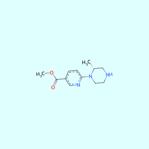 COC(=O)c1ccc(N2CCNC[C@H]2C)nc1